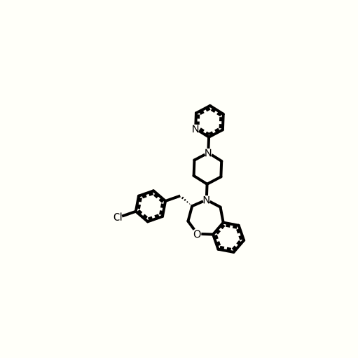 Clc1ccc(C[C@H]2COc3ccccc3CN2C2CCN(c3ccccn3)CC2)cc1